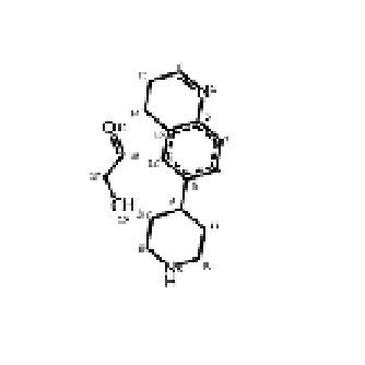 C1=Nc2ccc(C3CCNCC3)cc2CC1.CCC=O